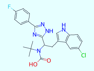 CC(C)(C)N(C(=O)O)C(Cc1c[nH]c2ccc(Cl)cc12)c1nc(-c2ccc(F)cc2)n[nH]1